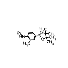 CC(C)Nc1ccc(B2OC(C)(C)C(C)(C)O2)cc1N